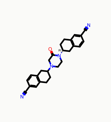 N#Cc1ccc2c(c1)CCC(N1CCN([C@@H]3CCc4cc(C#N)ccc4C3)C(=O)C1)C2